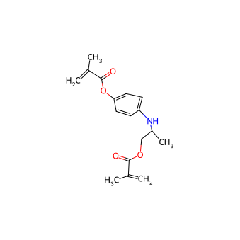 C=C(C)C(=O)OCC(C)Nc1ccc(OC(=O)C(=C)C)cc1